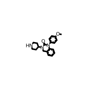 COc1ccc(N2C(=O)N(C3CCNCC3)Cc3ccccc32)cc1